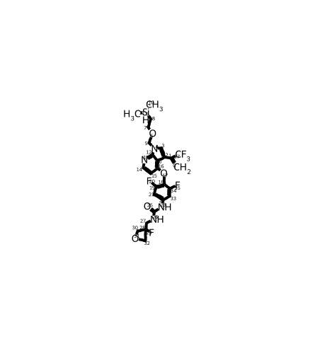 C=C(c1cn(COCC[SiH](C)C)c2nccc(Oc3c(F)cc(NC(=O)NCC4(F)COC4)cc3F)c12)C(F)(F)F